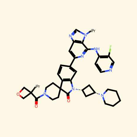 CC(C)n1cnc2cc(-c3ccc4c(c3)N([C@H]3C[C@@H](N5CCCCC5)C3)C(=O)C43CCN(C(=O)C4(C(C)C)COC4)CC3)nc(Nc3ccncc3F)c21